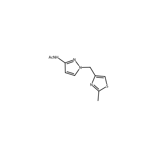 CC(=O)Nc1ccn(Cc2csc(C)n2)n1